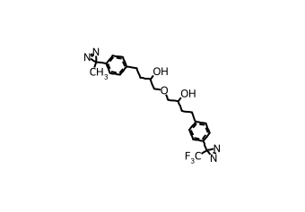 CC1(c2ccc(CCC(O)COCC(O)CCc3ccc(C4(C(F)(F)F)N=N4)cc3)cc2)N=N1